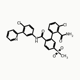 CS(=O)(=O)c1ccc(C(=O)Nc2ccc(Cl)c(-c3ccccn3)c2)c(-c2cccc(Cl)c2C(N)=O)c1